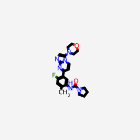 Cc1cc(F)c(-c2ccn3c(N4CCOCC4)cnc3n2)cc1NC(=O)N1CCCC1